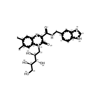 Cc1cc2nc(C(=O)NCc3ccc4[nH]cnc4c3)c(=O)n(C[C@H](O)[C@H](O)[C@H](O)CO)c2cc1C